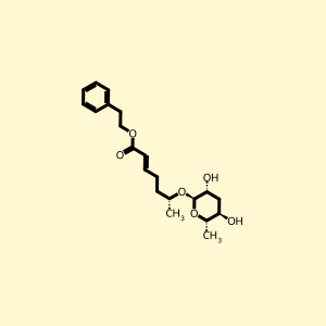 C[C@H](CC/C=C/C(=O)OCCc1ccccc1)O[C@@H]1O[C@@H](C)[C@H](O)C[C@H]1O